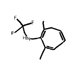 Cc1cccc(C)c1NC(F)(F)F